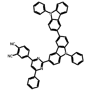 N#Cc1ccc(-c2cc(-c3ccccc3)nc(-c3ccc4c(c3)c3cc(-c5ccc6c(c5)c5ccccc5n6-c5ccccc5)ccc3n4-c3ccccc3)n2)cc1C#N